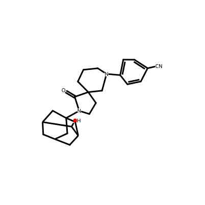 N#Cc1ccc(N2CCCC3(CCN(C45CC6CC(C4)C(O)C(C6)C5)C3=O)C2)cc1